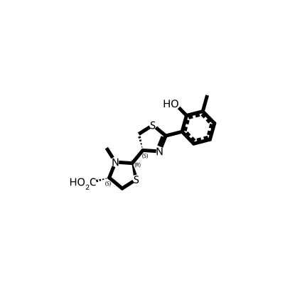 Cc1cccc(C2=N[C@H]([C@H]3SC[C@H](C(=O)O)N3C)CS2)c1O